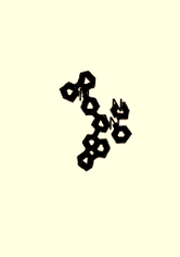 C1=C(c2ccc(-n3c4ccccc4c4ccccc43)cc2)C=C(N(c2ccccc2)c2cccnc2)CC1C1CC=C2c3ccccc3-c3cccc1c32